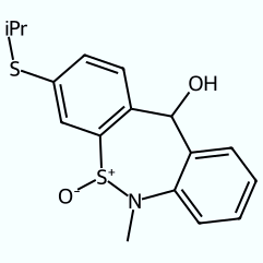 CC(C)Sc1ccc2c(c1)[S+]([O-])N(C)c1ccccc1C2O